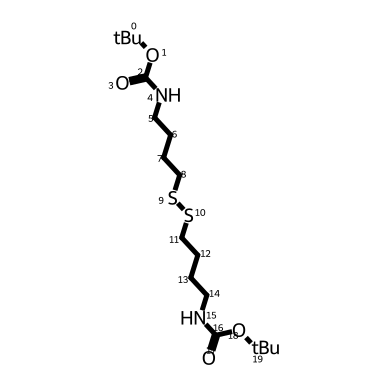 CC(C)(C)OC(=O)NCCCCSSCCCCNC(=O)OC(C)(C)C